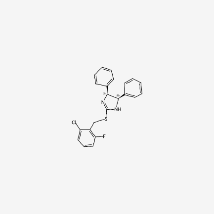 Fc1cccc(Cl)c1CSC1=N[C@@H](c2ccccc2)[C@@H](c2ccccc2)N1